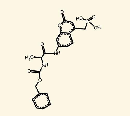 C[C@H](NC(=O)OCc1ccccc1)C(=O)Nc1ccc2c(CP(=O)(O)O)cc(=O)oc2c1